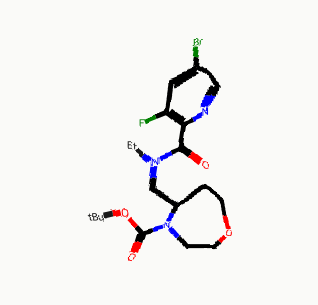 CCN(CC1CCOCCN1C(=O)OC(C)(C)C)C(=O)c1ncc(Br)cc1F